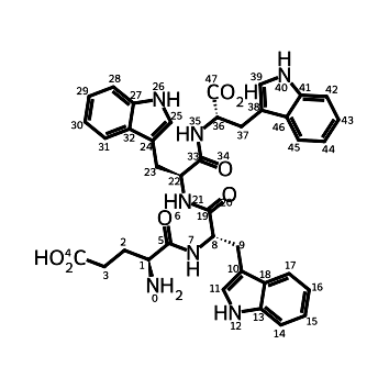 N[C@@H](CCC(=O)O)C(=O)N[C@@H](Cc1c[nH]c2ccccc12)C(=O)N[C@@H](Cc1c[nH]c2ccccc12)C(=O)N[C@@H](Cc1c[nH]c2ccccc12)C(=O)O